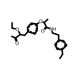 CCOC(Cc1ccc(OC(C)C(=O)NCCc2ccc(CC)cc2)cc1)C(C)=O